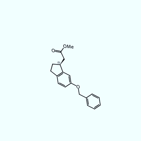 COC(=O)C[C@@H]1CCc2ccc(OCc3ccccc3)cc21